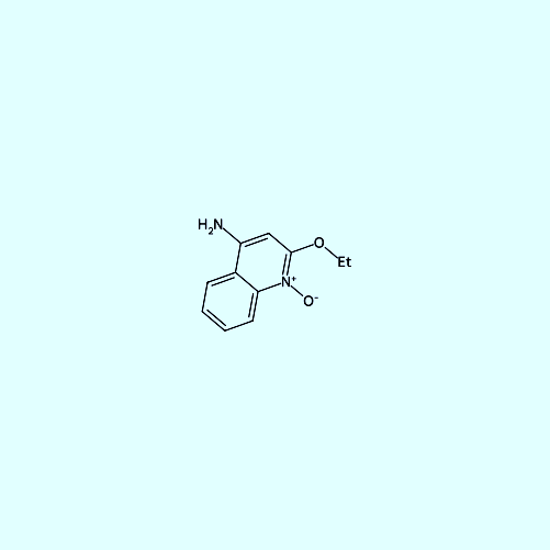 CCOc1cc(N)c2ccccc2[n+]1[O-]